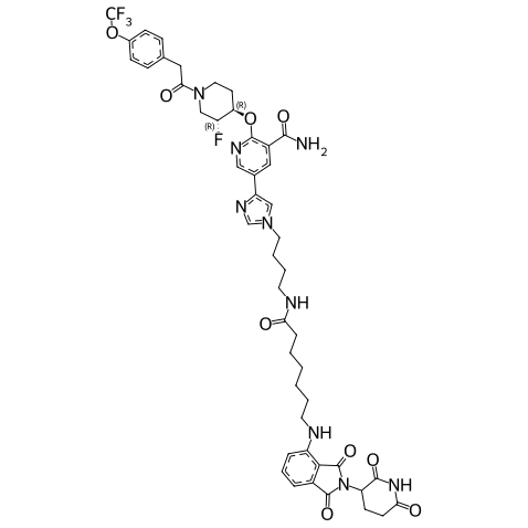 NC(=O)c1cc(-c2cn(CCCCNC(=O)CCCCCCNc3cccc4c3C(=O)N(C3CCC(=O)NC3=O)C4=O)cn2)cnc1O[C@@H]1CCN(C(=O)Cc2ccc(OC(F)(F)F)cc2)C[C@H]1F